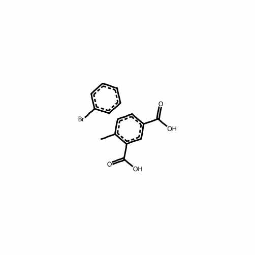 Brc1ccccc1.Cc1ccc(C(=O)O)cc1C(=O)O